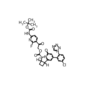 CC(C)(C)OC(=O)Nc1ccc(C(=O)COC(=O)[C@@H]2[C@H]3CC[C@H]3c3cc(-c4cc(Cl)ccc4-n4cnnn4)cc(=O)n32)c(F)n1